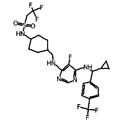 O=S(=O)(CC(F)(F)F)NC1CCC(CNc2ncnc(NC(c3ccc(C(F)(F)F)cc3)C3CC3)c2F)CC1